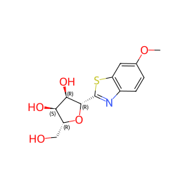 COc1ccc2nc([C@@H]3O[C@H](CO)[C@@H](O)[C@H]3O)sc2c1